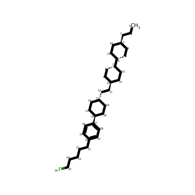 CCC[C@H]1CC[C@H]([C@H]2CC[C@H](CC[C@H]3CC[C@H](c4ccc(CCCCCF)cc4)CC3)CC2)CC1